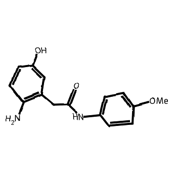 COc1ccc(NC(=O)Cc2cc(O)ccc2N)cc1